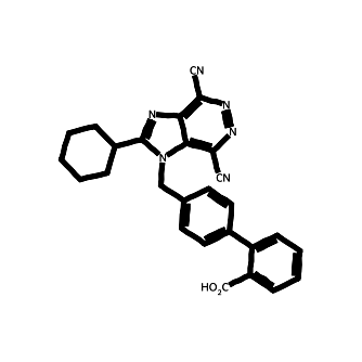 N#Cc1nnc(C#N)c2c1nc(C1CCCCC1)n2Cc1ccc(-c2ccccc2C(=O)O)cc1